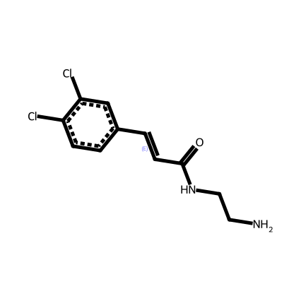 NCCNC(=O)/C=C/c1ccc(Cl)c(Cl)c1